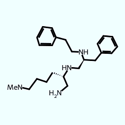 CNCCCC[C@@H](CN)NC[C@H](Cc1ccccc1)NCCc1ccccc1